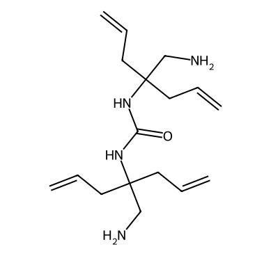 C=CCC(CN)(CC=C)NC(=O)NC(CN)(CC=C)CC=C